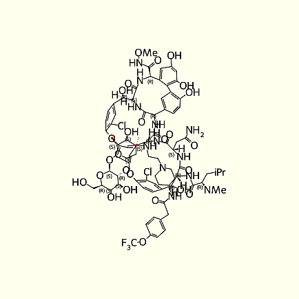 CN[C@H](CC(C)C)C(=O)N[C@H]1C(=O)N[C@@H](CC(N)=O)C(=O)N[C@H]2C(=O)N[C@H]3C(=O)N[C@H](C(=O)N[C@@H](C(=O)NOC)c4cc(O)cc(O)c4-c4cc3ccc4O)[C@H](O)c3ccc(c(Cl)c3)Oc3cc2cc(c3O[C@@H]2O[C@H](CO)[C@@H](O)[C@H](O)[C@H]2O[C@H]2C[C@](C)(NCCN3CCC(NC(=O)Cc4ccc(OC(F)(F)F)cc4)CC3)[C@H](O)[C@H](C)O2)Oc2ccc(cc2Cl)[C@H]1O